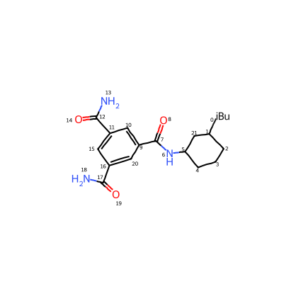 CCC(C)C1CCCC(NC(=O)c2cc(C(N)=O)cc(C(N)=O)c2)C1